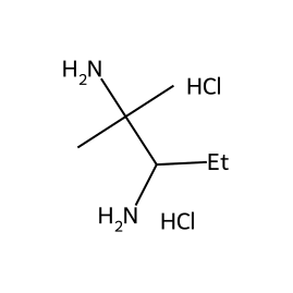 CCC(N)C(C)(C)N.Cl.Cl